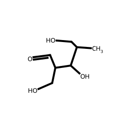 CC(CO)C(O)C(C=O)CO